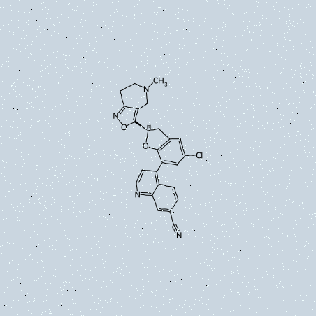 CN1CCc2noc([C@H]3Cc4cc(Cl)cc(-c5ccnc6cc(C#N)ccc56)c4O3)c2C1